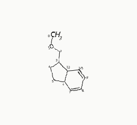 COCC1CCC2C=CC=CC21